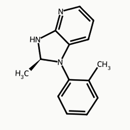 Cc1ccccc1N1c2cccnc2N[C@@H]1C